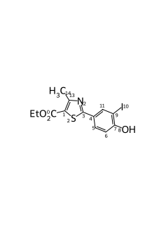 CCOC(=O)c1sc(-c2ccc(O)c(I)c2)nc1C